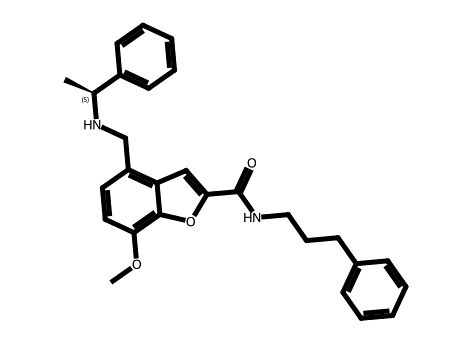 COc1ccc(CN[C@@H](C)c2ccccc2)c2cc(C(=O)NCCCc3ccccc3)oc12